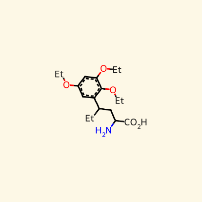 CCOc1cc(OCC)c(OCC)c(C(CC)CC(N)C(=O)O)c1